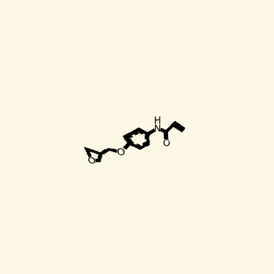 C=CC(=O)Nc1ccc(OCC2COC2)cc1